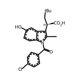 Cc1c([C@@H](CC(C)(C)C)C(=O)O)c2cc(O)ccc2n1C(=O)c1ccc(Cl)cc1